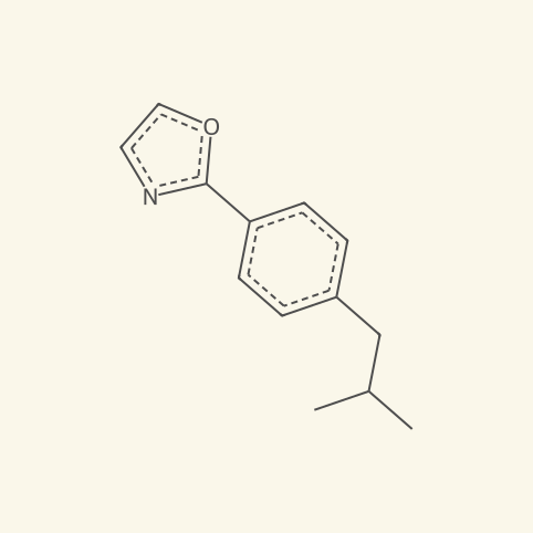 CC(C)Cc1ccc(-c2ncco2)cc1